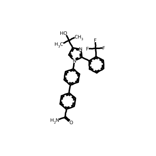 CC(C)(O)c1cn(-c2ccc(-c3ccc(C(N)=O)cc3)cc2)c(-c2ccccc2C(F)(F)F)n1